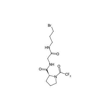 O=C(CNC(=O)[C@@H]1CCCN1C(=O)C(F)(F)F)NCCCBr